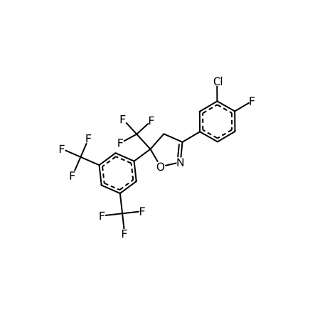 Fc1ccc(C2=NOC(c3cc(C(F)(F)F)cc(C(F)(F)F)c3)(C(F)(F)F)C2)cc1Cl